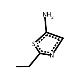 CCc1ncc(N)s1